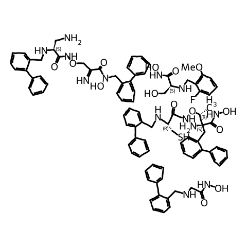 COc1cccc(F)c1CN[C@@H](CO)C(=O)NO.C[C@@H](ONC(=O)[C@H](CS)NCc1ccccc1-c1ccccc1)[C@@](N)(Cc1ccccc1-c1ccccc1)C(=O)NO.N=C(CONC(=O)[C@H](CN)NCc1ccccc1-c1ccccc1)C(=O)N(O)Cc1ccccc1-c1ccccc1.O=C(CNCc1ccccc1-c1ccccc1)NO